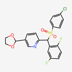 O=S(=O)(c1ccc(Cl)cc1)C(c1ccc(C2OCCO2)cn1)c1cc(F)ccc1F